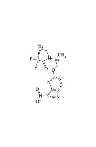 CCN(C(=O)C(F)(F)F)[C@H](C)COc1ccc2ncc([N+](=O)[O-])n2n1